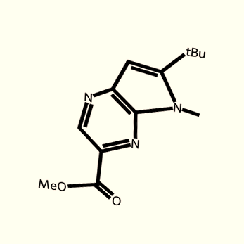 COC(=O)c1cnc2cc(C(C)(C)C)n(C)c2n1